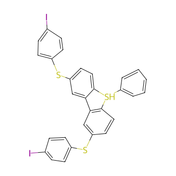 Ic1ccc(Sc2ccc3c(c2)-c2cc(Sc4ccc(I)cc4)ccc2[SH]3c2ccccc2)cc1